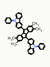 Cc1cc2c(cc1C)C(c1ccc3c(c1)c1ccccc1n3-c1ccccc1)=C1C2=C(c2ccc3c(c2)c2ccccc2n3-c2ccccc2)c2cc(C)c(C)cc21